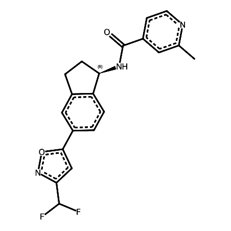 Cc1cc(C(=O)N[C@@H]2CCc3cc(-c4cc(C(F)F)no4)ccc32)ccn1